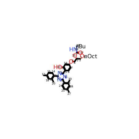 CCCCCCCCOCC(COc1ccc(-c2nc(-c3ccc(C)cc3C)nc(-c3ccc(C)cc3C)n2)c(O)c1)OC(=O)NCCCC